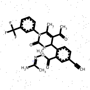 C#Cc1ccc(C2C(C(C)=O)=C(C)N(c3cccc(C(F)(F)F)c3)C(=O)N2C)c(C(=O)O/N=C(\C)N)c1